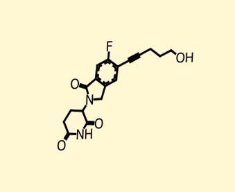 O=C1CCC(N2Cc3cc(C#CCCCO)c(F)cc3C2=O)C(=O)N1